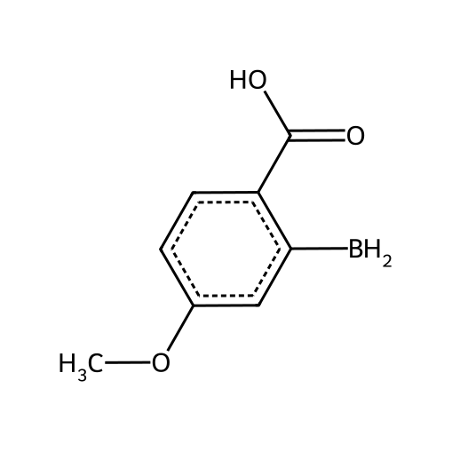 Bc1cc(OC)ccc1C(=O)O